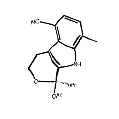 CCC[C@]1(OC(C)=O)OCCc2c1[nH]c1c(C)ccc(C#N)c21